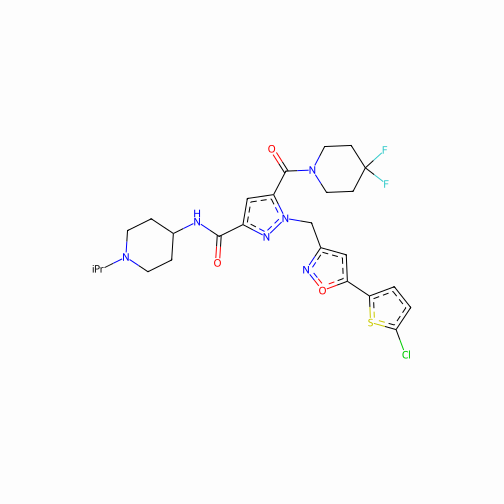 CC(C)N1CCC(NC(=O)c2cc(C(=O)N3CCC(F)(F)CC3)n(Cc3cc(-c4ccc(Cl)s4)on3)n2)CC1